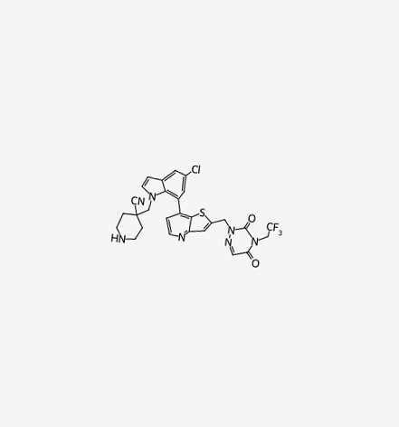 N#CC1(Cn2ccc3cc(Cl)cc(-c4ccnc5cc(Cn6ncc(=O)n(CC(F)(F)F)c6=O)sc45)c32)CCNCC1